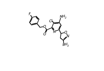 BC1=NOC(c2cc(N)c(Cl)c(C(=O)OCc3ccc(F)cc3)n2)C1